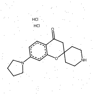 Cl.Cl.O=C1CC2(CCNCC2)Oc2cc(N3CCCC3)ccc21